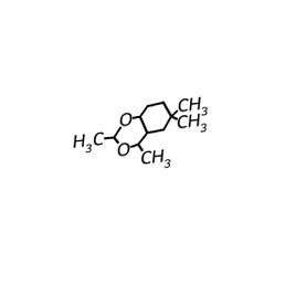 CC1OC(C)C2CC(C)(C)CCC2O1